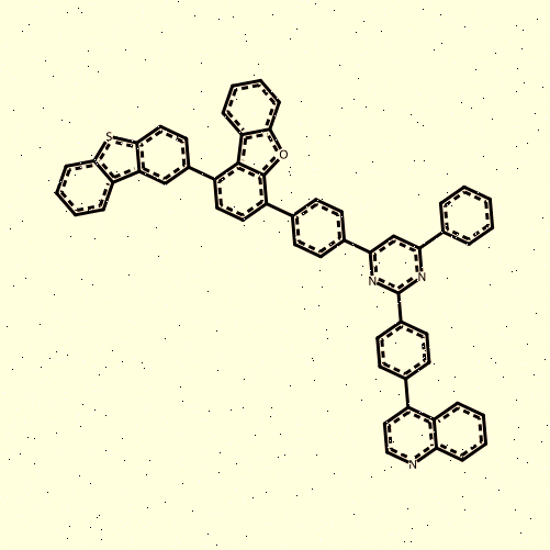 c1ccc(-c2cc(-c3ccc(-c4ccc(-c5ccc6sc7ccccc7c6c5)c5c4oc4ccccc45)cc3)nc(-c3ccc(-c4ccnc5ccccc45)cc3)n2)cc1